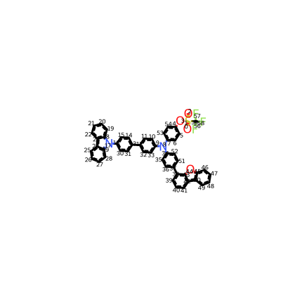 O=S(=O)(Oc1ccc(N(c2ccc(-c3ccc(-n4c5ccccc5c5ccccc54)cc3)cc2)c2ccc(-c3cccc4c3oc3ccccc34)cc2)cc1)C(F)(F)F